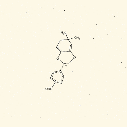 CC1(C)C=C2OC[C@H](c3ccc(C=O)cc3)OC2=CC1